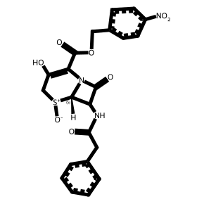 O=C(Cc1ccccc1)NC1C(=O)N2C(C(=O)OCc3ccc([N+](=O)[O-])cc3)=C(O)C[S+]([O-])[C@@H]12